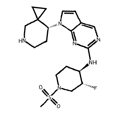 CS(=O)(=O)N1CC[C@@H](Nc2ncc3ccn([C@@H]4CCNCC45CC5)c3n2)[C@H](F)C1